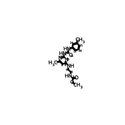 COC(=O)NCCNc1cc(C)nc(NC(=O)Nc2cccc(C)c2)n1